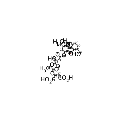 C[C@H](OC(=O)[C@@H](O)CC(=O)OC1=CC[C@@]2(O)[C@H]3Cc4ccc(CO)c5c4[C@@]2(CCN3C)[C@H]1O5)C(=O)O[C@H](CC(=O)O)C(=O)O